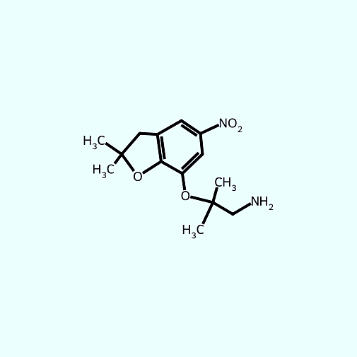 CC(C)(CN)Oc1cc([N+](=O)[O-])cc2c1OC(C)(C)C2